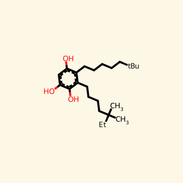 CCC(C)(C)CCCCc1c(O)c(O)cc(O)c1CCCCCC(C)(C)C